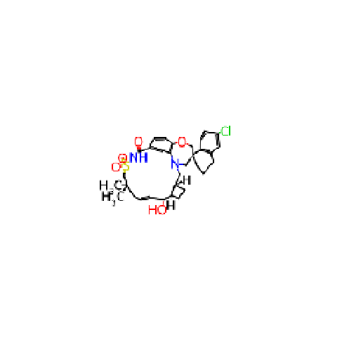 CC1(C)C/C=C/[C@H](O)[C@@H]2CC[C@H]2CN2C[C@@]3(CCCc4cc(Cl)ccc43)COc3ccc(cc32)C(=O)NS(=O)(=O)C1